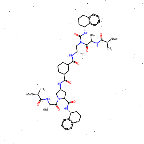 CC[C@@H](CN(C(=O)N[C@@H]1CCCc2ccccc21)C(=O)C(NC(=O)[C@H](C)NC)C(C)(C)C)NC(=O)C1CCCC(C(=O)N[C@H]2C[C@@H](C(=O)N[C@@H]3CCCc4ccccc43)N(C(=O)[C@@H](NC(=O)[C@H](C)NC)C(C)(C)C)C2)C1